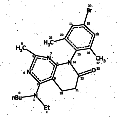 CCCCN(CC)c1nc(C)nc2c1CCC(=O)N2c1c(C)cc(Br)cc1C